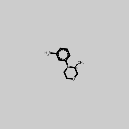 Bc1cccc(N2CCOC[C@@H]2C)c1